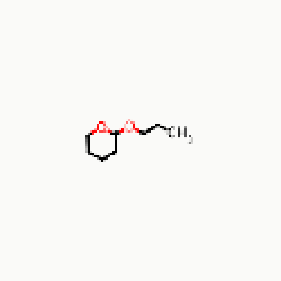 CCCO[C]1CCCCO1